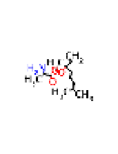 C=CC(C)(CCC=C(C)C)OOC(=O)[C@H](C)N